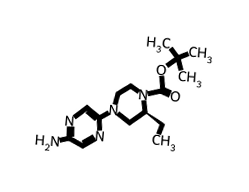 CC[C@H]1CN(c2cnc(N)cn2)CCN1C(=O)OC(C)(C)C